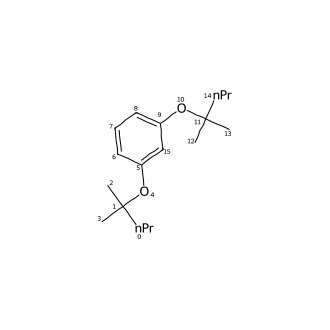 CCCC(C)(C)Oc1cccc(OC(C)(C)CCC)c1